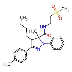 CCCCC1C(c2ccc(C)cc2)=NN(c2ccccc2)C1(C)C(=O)NCCS(C)(=O)=O